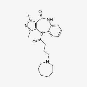 Cc1nn(C)c2c1N(C(=O)CCCN1CCCCCC1)c1ccccc1NC2=O